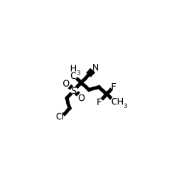 CC(F)(F)CCC(C)(C#N)S(=O)(=O)CCCl